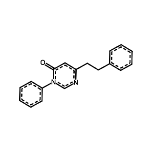 O=c1cc(CCc2ccccc2)ncn1-c1ccccc1